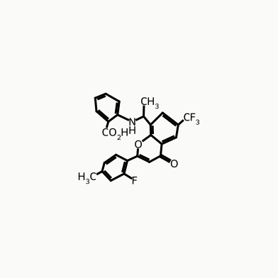 Cc1ccc(-c2cc(=O)c3cc(C(F)(F)F)cc(C(C)Nc4ccccc4C(=O)O)c3o2)c(F)c1